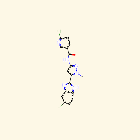 Cn1nc(NC(=O)c2ccc(Cl)nc2)cc1-c1nc2cc(F)ccc2[nH]1